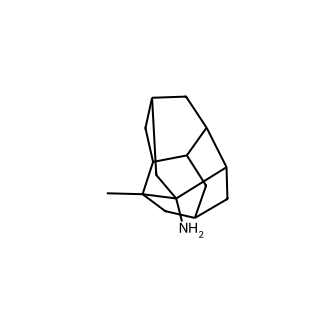 CC12CC3CC4C5CC(CC41)CC2(N)C5C3